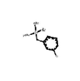 CCC[CH2][Sn]([CH2]CCC)([CH2]CCC)[CH2]c1cccc(Cl)c1